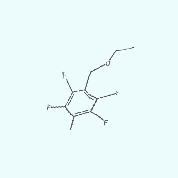 CCOCc1c(F)c(F)c(C)c(F)c1F